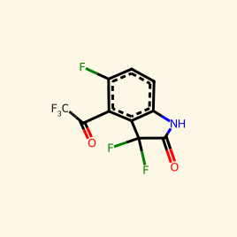 O=C(c1c(F)ccc2c1C(F)(F)C(=O)N2)C(F)(F)F